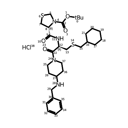 CC(C)(C)OC(=O)N1CSC[C@H]1C(=O)N[C@@H](CSCC1CCCCC1)C(=O)N1CCC(NCc2ccccc2)CC1.Cl